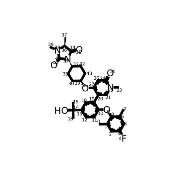 Cc1cc(F)cc(C)c1Oc1ccc(C(C)(C)O)cc1-c1cn(C)c(=O)cc1O[C@H]1CC[C@H](N2C(=O)[C@H](C)N(C)C2=O)CC1